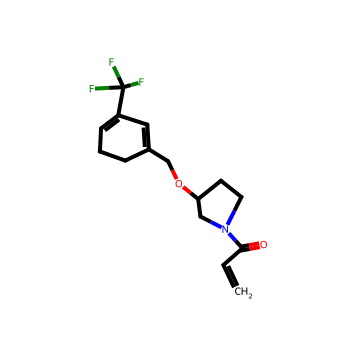 C=CC(=O)N1CCC(OCC2=CC(C(F)(F)F)=CCC2)C1